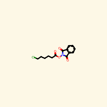 O=C(CCCCCCl)ON1C(=O)c2ccccc2C1=O